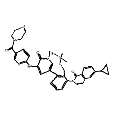 Cn1cc(-c2cccc(-n3ccc4cc(C5CC5)ccc4c3=O)c2CO[Si](C)(C)C(C)(C)C)cc(Nc2ccc(C(=O)N3CCOCC3)cn2)c1=O